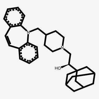 O[C@@H](CN1CCC(CN2c3ccccc3C=Cc3ccccc32)CC1)C12CC3CC(CC(C3)C1)C2